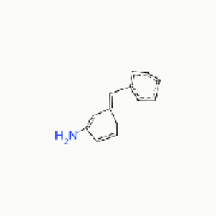 NC1=CC(=Cc2ccccc2)CC=C1